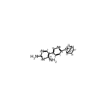 Nc1ncc(-c2ccc(N3CCN4CCC3CC4)nc2)c(N)n1